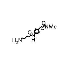 CNC(=O)OCc1ccc(NC(=O)CCCCN)cc1